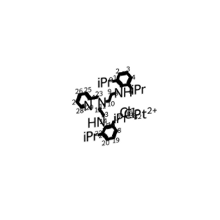 CC(C)c1cccc(C(C)C)c1NCCN(CCNc1c(C(C)C)cccc1C(C)C)Cc1ccccn1.[Cl-].[Cl-].[Pt+2]